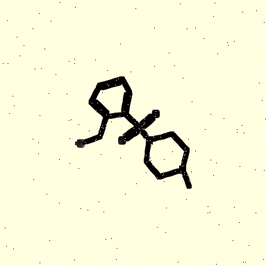 CN1CCN(S(=O)(=O)c2ccccc2C[O])CC1